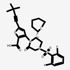 CC(C)(C)C#Cc1cc(N2C(=O)CN(S(=O)(=O)c3c(F)cccc3F)C[C@H]2C2CCCCC2)c(C(=O)O)s1